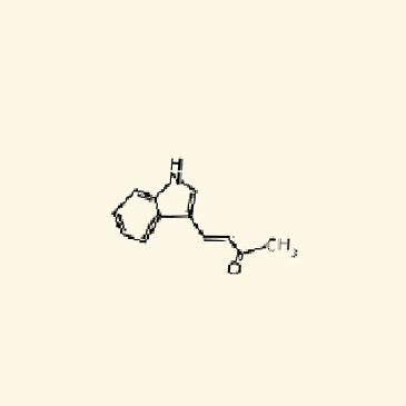 CC(=O)/[C]=C/c1c[nH]c2ccccc12